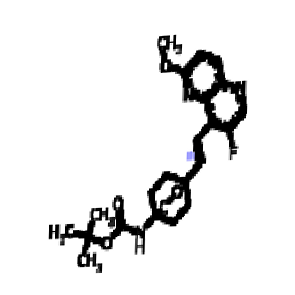 COc1ccc2ncc(F)c(/C=C/C34CCC(NC(=O)OC(C)(C)C)(CC3)CO4)c2n1